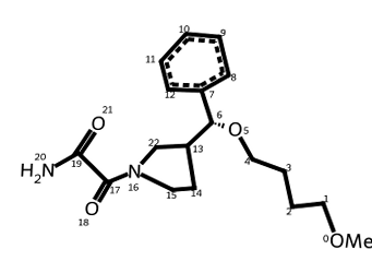 COCCCCO[C@@H](c1ccccc1)C1CCN(C(=O)C(N)=O)C1